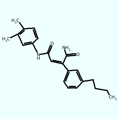 CCCCc1cccc(/C(=C/C(=O)Nc2ccc(C)c(C)c2)C(N)=O)c1